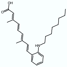 CCCCCCCCNc1ccccc1/C=C/C(C)=C/C=C/C(C)=C/C(=O)O